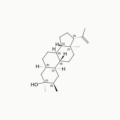 C=C(C)[C@H]1CC[C@H]2[C@@H]3CC[C@@H]4C[C@](C)(O)[C@H](C)C[C@@H]4[C@H]3CC[C@]12C